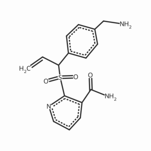 C=CC(c1ccc(CN)cc1)S(=O)(=O)c1ncccc1C(N)=O